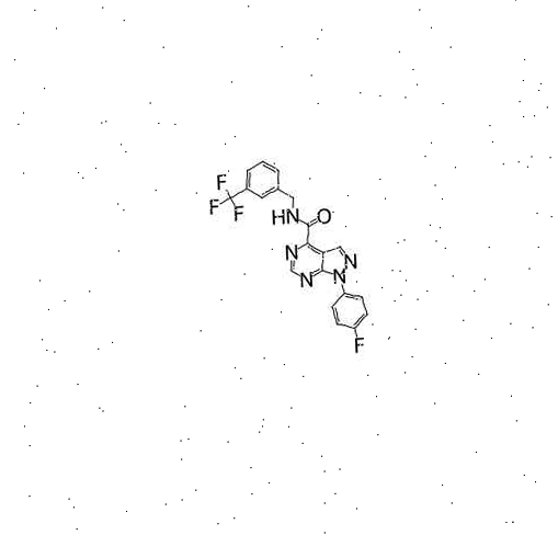 O=C(NCc1cccc(C(F)(F)F)c1)c1ncnc2c1cnn2-c1ccc(F)cc1